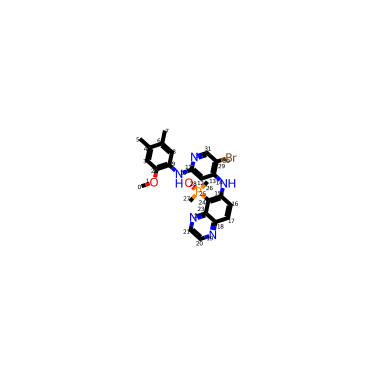 COc1cc(C)c(C)cc1Nc1cc(Nc2ccc3nccnc3c2P(C)(C)=O)c(Br)cn1